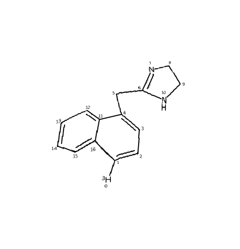 [3H]c1ccc(CC2=NCCN2)c2ccccc12